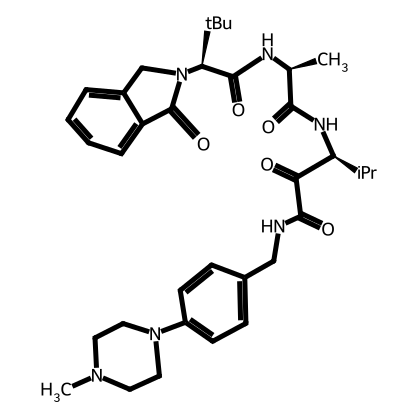 CC(C)[C@H](NC(=O)[C@H](C)NC(=O)[C@@H](N1Cc2ccccc2C1=O)C(C)(C)C)C(=O)C(=O)NCc1ccc(N2CCN(C)CC2)cc1